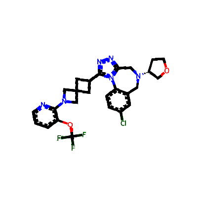 FC(F)(F)Oc1cccnc1N1CC2(CC(c3nnc4n3-c3ccc(Cl)cc3CN([C@@H]3CCOC3)C4)C2)C1